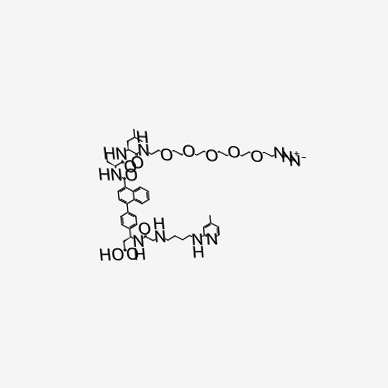 CC[C@H](NC(=O)c1ccc(-c2ccc([C@H](CC(=O)O)NC(=O)CNCCCCNc3cc(C)ccn3)cc2)c2ccccc12)C(=O)N[C@@H](CC(C)C)C(=O)NCCOCCOCCOCCOCCOCCN=[N+]=[N-]